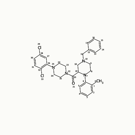 Cc1ccccc1N1CCN(Cc2ccccc2)CC1C(=O)N1CCN(c2cc(Cl)ccc2Cl)CC1